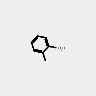 Cc1cc[c]cc1S(=O)(=O)O